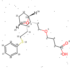 O=C(O)CCCOCC[C@@H]1[C@H](CCSc2ccccc2)[C@@H]2CC[C@H]1O2